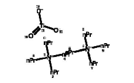 CCC[N+](CCC)(CCC)CCC.CCC[N+](CCC)(CCC)CCC.[O]=[Ti]([O-])[O-]